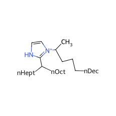 CCCCCCCCCCCCCC(C)[n+]1cc[nH]c1C(CCCCCCC)CCCCCCCC